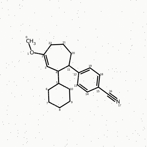 COC1=CC(C2CCCCC2)C(c2ccc(C#N)cc2)CCC1